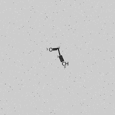 C#C[C]=O